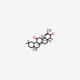 C[C@@H]1C(=O)C(C#N)=C[C@]2(C)[C@H]3CC(=O)C4C5CC(C)(C)CC[C@]5(C#N)CC[C@@]4(C)[C@]3(C)CC[C@@H]12